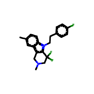 Cc1ccc2c(c1)c1c(n2CCc2ccc(F)cc2)C(F)(F)CN(C)C1